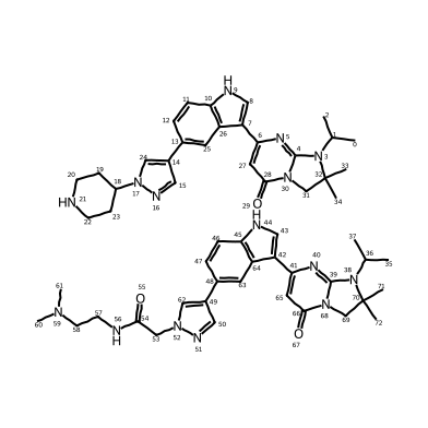 CC(C)N1c2nc(-c3c[nH]c4ccc(-c5cnn(C6CCNCC6)c5)cc34)cc(=O)n2CC1(C)C.CC(C)N1c2nc(-c3c[nH]c4ccc(-c5cnn(CC(=O)NCCN(C)C)c5)cc34)cc(=O)n2CC1(C)C